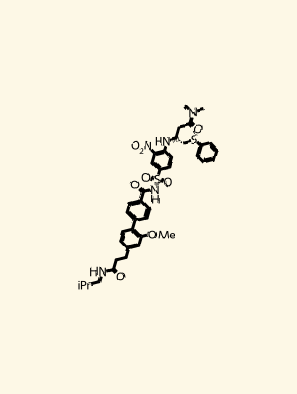 COc1cc(CCC(=O)NCC(C)C)ccc1-c1ccc(C(=O)NS(=O)(=O)c2ccc(N[C@@H](CSc3ccccc3)CC(=O)N(C)C)c([N+](=O)[O-])c2)cc1